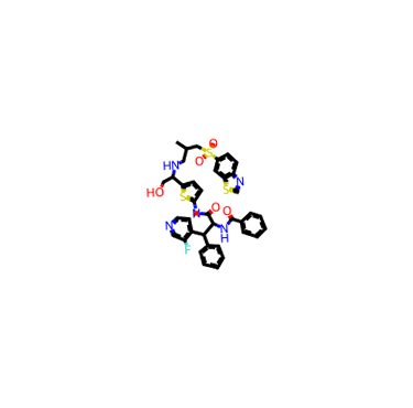 CC(CNC(CO)c1ccc(N(C)C(=O)C(NC(=O)c2ccccc2)C(c2ccccc2)c2ccncc2F)s1)CS(=O)(=O)c1ccc2ncsc2c1